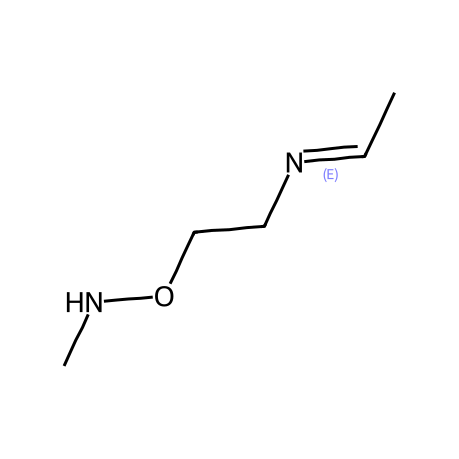 C/C=N/CCONC